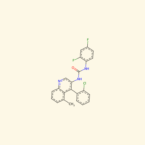 Cc1cccc2ncc(NC(=O)Nc3ccc(F)cc3F)c(-c3ccccc3Cl)c12